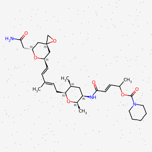 CC(C=C[C@@H]1C[C@]2(CO2)C[C@@H](CC(N)=O)O1)=CC[C@@H]1O[C@H](C)[C@H](NC(=O)C=CC(C)OC(=O)N2CCCCC2)C[C@@H]1C